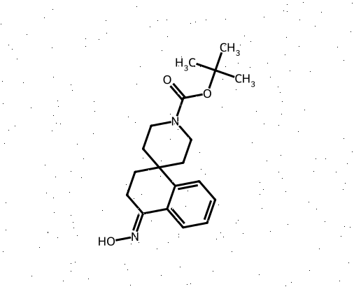 CC(C)(C)OC(=O)N1CCC2(CC/C(=N\O)c3ccccc32)CC1